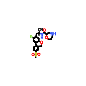 CS(=O)(=O)c1ccc2c(c1)COc1cc(C[C@@H](C#N)NC(=O)C3CNCCCO3)c(F)cc1-2